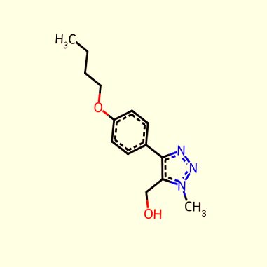 CCCCOc1ccc(-c2nnn(C)c2CO)cc1